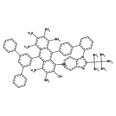 Bc1c(B)c(B)c2c(-c3ccc(-c4ccccc4-n4c(C(B)(B)C(B)(B)B)nc5ccccc54)cc3)c3c(B)c(O)c(B)c(B)c3c(-c3cc(-c4ccccc4)cc(-c4ccccc4)c3)c2c1B